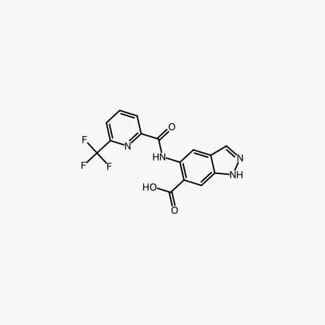 O=C(Nc1cc2cn[nH]c2cc1C(=O)O)c1cccc(C(F)(F)F)n1